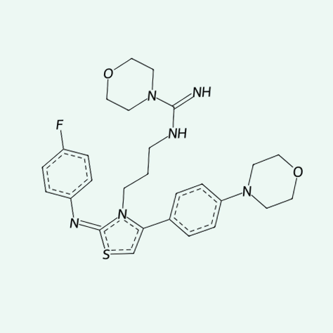 N=C(NCCCn1c(-c2ccc(N3CCOCC3)cc2)cs/c1=N/c1ccc(F)cc1)N1CCOCC1